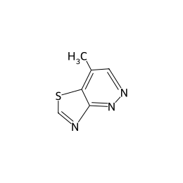 Cc1cnnc2ncsc12